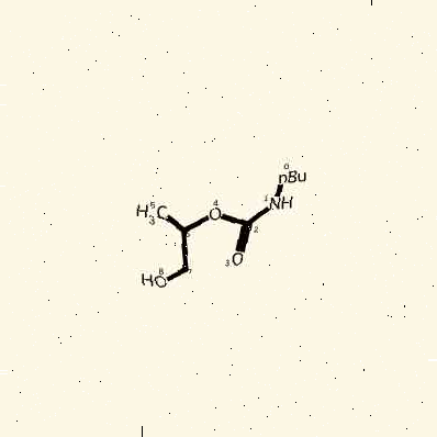 CCCCNC(=O)OC(C)CO